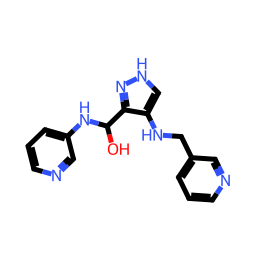 OC(Nc1cccnc1)c1n[nH]cc1NCc1cccnc1